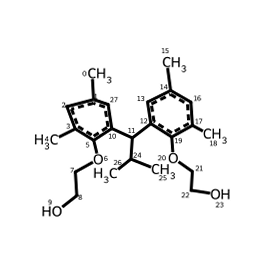 Cc1cc(C)c(OCCO)c(C(c2cc(C)cc(C)c2OCCO)C(C)C)c1